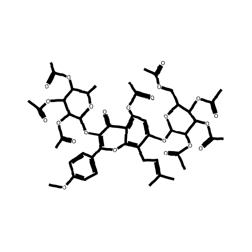 COc1ccc(-c2oc3c(CC=C(C)C)c(OC4OC(COC(C)=O)C(OC(C)=O)C(OC(C)=O)C4OC(C)=O)cc(OC(C)=O)c3c(=O)c2OC2OC(C)C(OC(C)=O)C(OC(C)=O)C2OC(C)=O)cc1